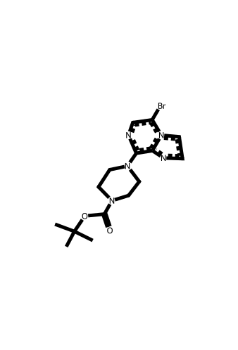 CC(C)(C)OC(=O)N1CCN(c2ncc(Br)n3ccnc23)CC1